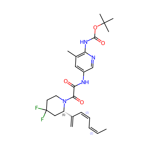 C=C(/C=C\C=C/C)[C@@H]1CC(F)(F)CCN1C(=O)C(=O)Nc1cnc(NC(=O)OC(C)(C)C)c(C)c1